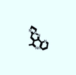 CC(=N)c1cc2nccn2nc1-c1ccccn1